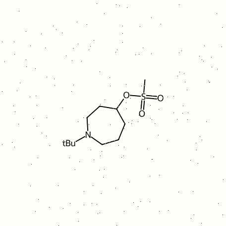 CC(C)(C)N1CCCC(OS(C)(=O)=O)CC1